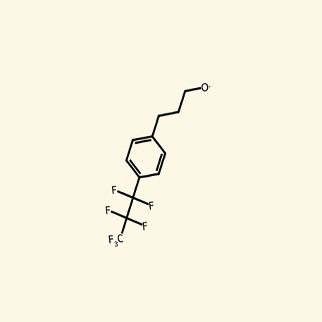 [O]CCCc1ccc(C(F)(F)C(F)(F)C(F)(F)F)cc1